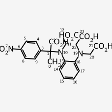 CC(C(=O)O)(c1ccc([N+](=O)[O-])cc1)N(CC(=O)O)c1ccccc1N(CC(=O)O)CC(=O)O